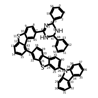 c1ccc(C2N=C(c3ccc4sc5cccc(-c6ccc7c(c6)sc6cc(-n8c9ccccc9c9ccccc98)ccc67)c5c4c3)NC(c3ccccc3)N2)cc1